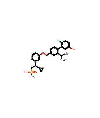 COC(c1cc(COc2cccc(C(CP(C)(=O)O)C3CC3)c2)ccc1-c1cc(O)ccc1F)C(C)(C)C